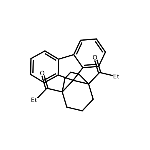 CCC(=O)C12CCCC(C(=O)CC)(CCC1)C21c2ccccc2-c2ccccc21